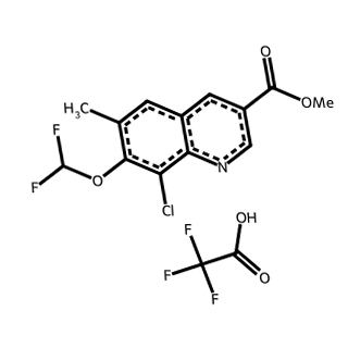 COC(=O)c1cnc2c(Cl)c(OC(F)F)c(C)cc2c1.O=C(O)C(F)(F)F